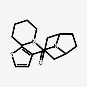 O=C(N1CCCCC1)N1C2CCC1CC(c1ccsc1)C2